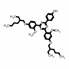 CCCCC(CC)COc1ccc(-c2nc(-c3ccc(O)cc3)nc(-c3ccc(OCC(CC)CCCC)cc3OC)n2)c(OC)c1